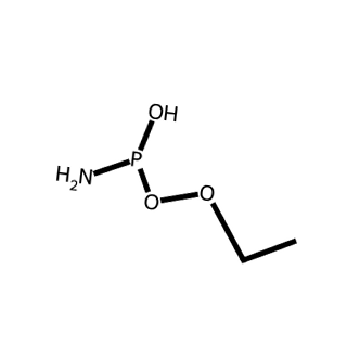 CCOOP(N)O